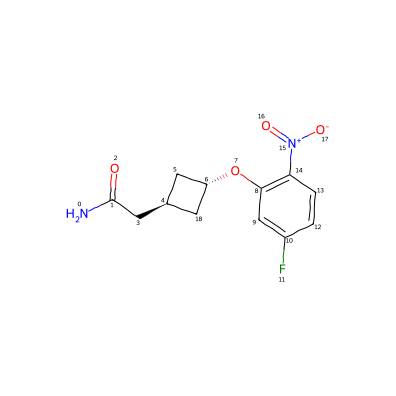 NC(=O)C[C@H]1C[C@H](Oc2cc(F)ccc2[N+](=O)[O-])C1